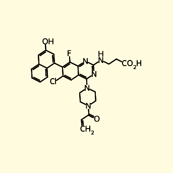 C=CC(=O)N1CCN(c2nc(NCCC(=O)O)nc3c(F)c(-c4cc(O)cc5ccccc45)c(Cl)cc23)CC1